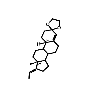 CC=C1CCC2C3CCC4=CC5(CC[C@H]4C3CC[C@@]12C)OCCO5